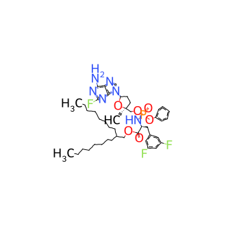 C#C[C@@]1(COP(=O)(N[C@@H](Cc2cc(F)cc(F)c2)C(=O)OCC(CCCCCCCC)CCCCCCCC)Oc2ccccc2)CC[C@H](n2cnc3c(N)nc(F)nc32)O1